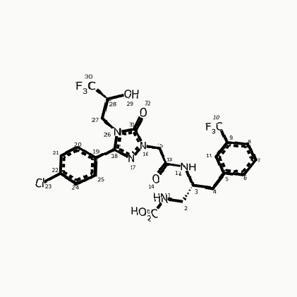 O=C(O)NC[C@@H](Cc1cccc(C(F)(F)F)c1)NC(=O)Cn1nc(-c2ccc(Cl)cc2)n(C[C@H](O)C(F)(F)F)c1=O